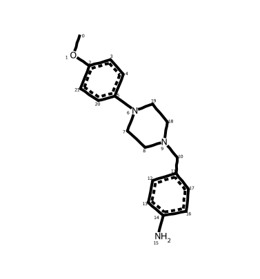 COc1ccc(N2CCN(Cc3ccc(N)cc3)CC2)cc1